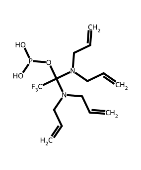 C=CCN(CC=C)C(OP(O)O)(N(CC=C)CC=C)C(F)(F)F